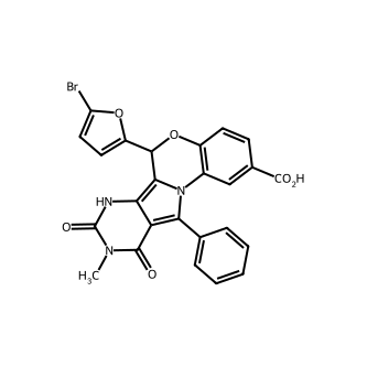 Cn1c(=O)[nH]c2c3n(c(-c4ccccc4)c2c1=O)-c1cc(C(=O)O)ccc1OC3c1ccc(Br)o1